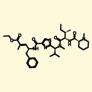 CCOC(=O)/C(C)=C/[C@H](Cc1ccccc1)NC(=O)c1csc([C@H](C(C)C)N(C)C(=O)[C@@H](NC(=O)[C@H]2CCCCN2C)[C@@H](C)CC)n1